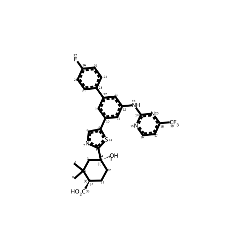 CC1(C)C[C@@](O)(c2ncc(-c3cc(Nc4nccc(C(F)(F)F)n4)cc(-c4ccc(F)cc4)c3)s2)CC[C@H]1C(=O)O